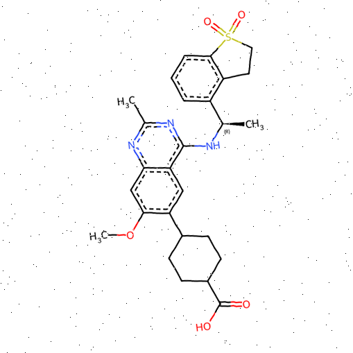 COc1cc2nc(C)nc(N[C@H](C)c3cccc4c3CCS4(=O)=O)c2cc1C1CCC(C(=O)O)CC1